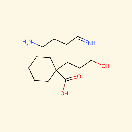 N=CCCCN.O=C(O)C1(CCCO)CCCCC1